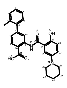 Cc1ccccc1-c1ccc(C(=O)O)c(NC(=O)c2cc(N3CCCCC3)ccc2O)c1